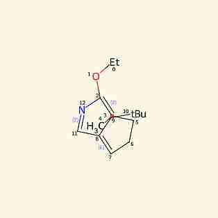 CCOC1=C(/C)CC/C=C(CC(C)(C)C)/C=N\1